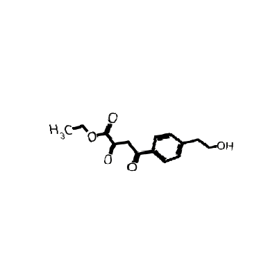 CCOC(=O)C(=O)CC(=O)c1ccc(CCO)cc1